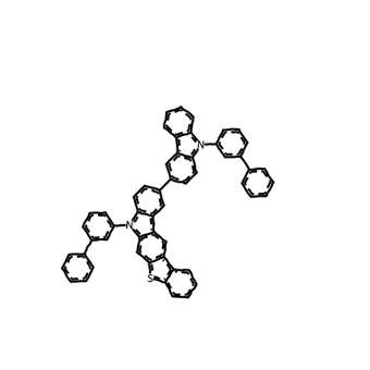 c1ccc(-c2cccc(-n3c4ccccc4c4cc(-c5ccc6c(c5)c5cc7c(cc5n6-c5cccc(-c6ccccc6)c5)sc5ccccc57)ccc43)c2)cc1